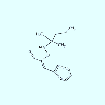 CCCC(C)(C)NOC(C=O)=Cc1ccccc1